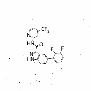 O=C(Nc1cc(C(F)(F)F)ccn1)c1n[nH]c2ccc(-c3cccc(F)c3F)cc12